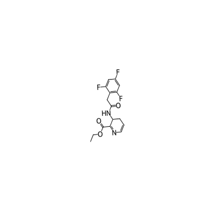 CCOC(=O)C1=NC=CCC1NC(=O)Cc1c(F)cc(F)cc1F